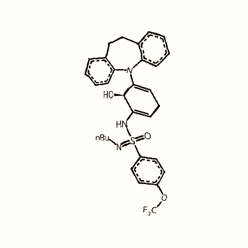 CCCCN=S(=O)(NC1=CCC=C(N2c3ccccc3CCc3ccccc32)[C@@H]1O)c1ccc(OC(F)(F)F)cc1